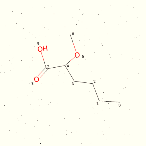 CCCCC(OC)C(=O)O